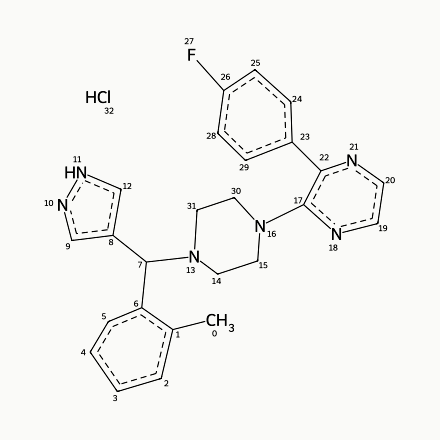 Cc1ccccc1C(c1cn[nH]c1)N1CCN(c2nccnc2-c2ccc(F)cc2)CC1.Cl